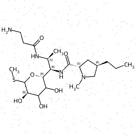 CCC[C@@H]1C[C@@H](C(=O)N[C@H]([C@H](C)NC(=O)CCN)[C@H]2OC(SC)[C@H](O)C(O)C2O)N(C)C1